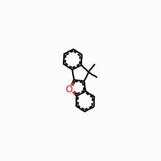 CC1(C)c2ccccc2-c2oc3ccccc3c21